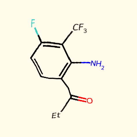 CCC(=O)c1ccc(F)c(C(F)(F)F)c1N